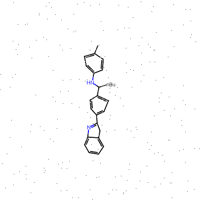 CCCCC(Nc1ccc(C)cc1)c1ccc(C2=Nc3ccccc3C2)cc1